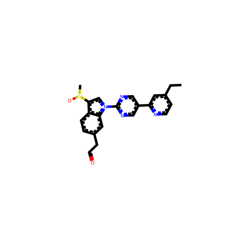 CCc1ccnc(-c2cnc(-n3cc([S+](C)[O-])c4ccc(CC=O)cc43)nc2)c1